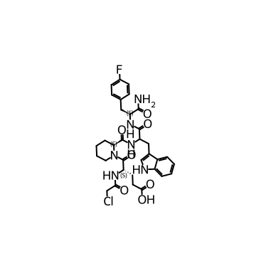 NC(=O)[C@H](Cc1ccc(F)cc1)NC(=O)C(Cc1c[nH]c2ccccc12)NC(=O)[C@@H]1CCCCN1C(=O)[C@H](CCC(=O)O)NC(=O)CCl